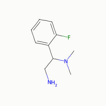 CN(C)C(CN)c1ccccc1F